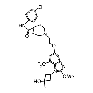 COc1nc2cc(OCCN3CCC4(CC3)C(=O)Nc3ccc(Cl)cc34)cc(C(F)(F)F)c2n1C1CC(C)(O)C1